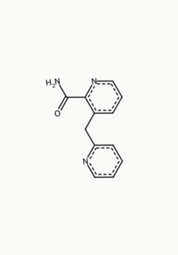 NC(=O)c1ncccc1Cc1ccccn1